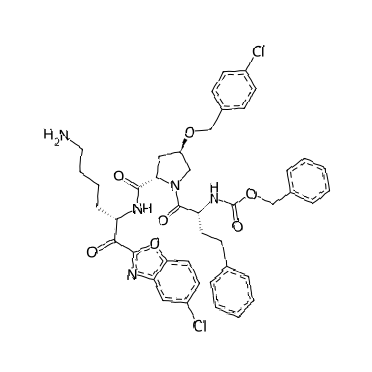 NCCCC[C@H](NC(=O)[C@@H]1C[C@@H](OCc2ccc(Cl)cc2)CN1C(=O)[C@@H](CCc1ccccc1)NC(=O)OCc1ccccc1)C(=O)c1nc2cc(Cl)ccc2o1